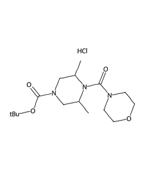 CC1CN(C(=O)OC(C)(C)C)CC(C)N1C(=O)N1CCOCC1.Cl